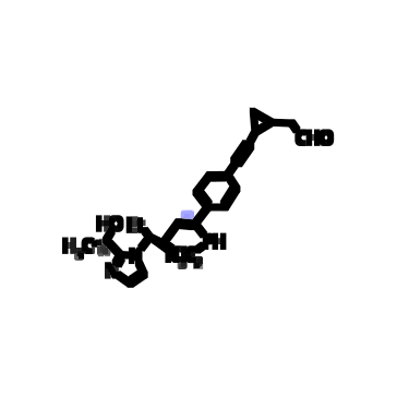 C=C(/C=C(\PC)c1ccc(C#CC2CC2CC=O)cc1)C(CC)n1ccnc1[C@H](C)O